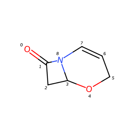 O=C1CC2OCC=CN12